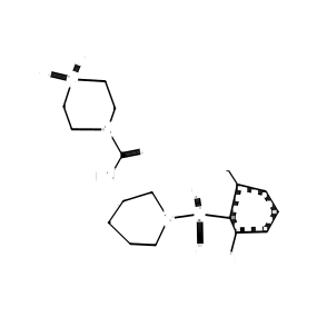 O=C(N[C@H]1CCCN(S(=O)(=O)c2c(Cl)cccc2Cl)C1)N1CCS(=O)(=O)CC1